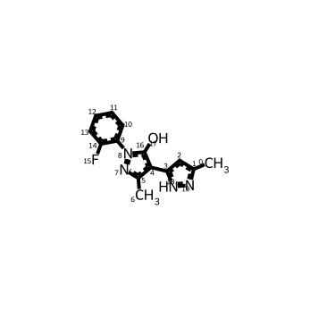 Cc1cc(-c2c(C)nn(-c3ccccc3F)c2O)[nH]n1